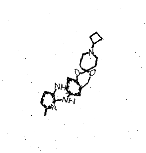 Cc1ccc(N)c(Nc2ccc3c(c2)COC2(CCN(C4CCC4)CC2)O3)n1